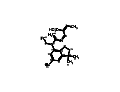 C=C(/N=C\C(=C/C)C(=O)O)N(CC(C)C)c1cc(C(C)(C)C)cc2c1CCC2(C)C